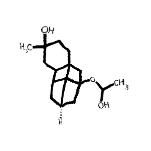 CC(O)OC12CC3C[C@H](C1)C1CC(C)(O)CC3C1C2